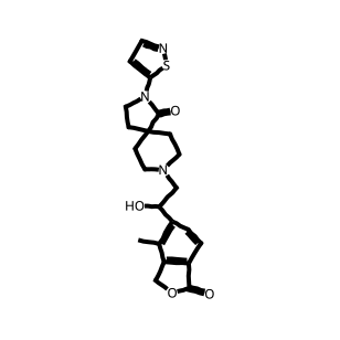 Cc1c(C(O)CN2CCC3(CC2)CCN(c2ccns2)C3=O)ccc2c1COC2=O